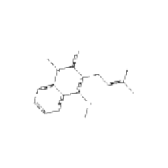 COc1c(CC=C(C)C)c(=O)n(C)c2ccccc12